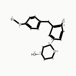 CCOc1ccc(Cc2cc([C@H]3C[C@@H](O)CCO3)ccc2Cl)cc1